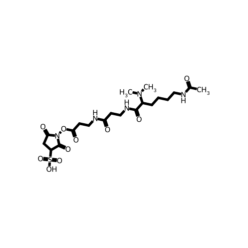 CC(=O)NCCCCC(C(=O)NCCC(=O)NCCC(=O)ON1C(=O)CC(S(=O)(=O)O)C1=O)N(C)C